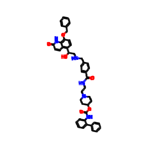 O=C(Nc1ccccc1-c1ccccc1)OC1CCN(CCNC(=O)c2ccc(CNCC(O)c3ccc(OCc4ccccc4)c4[nH]c(=O)ccc34)cc2)CC1